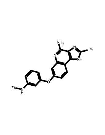 CCCc1nc2c(N)nc3cc(Oc4cccc(NCC)c4)ccc3c2[nH]1